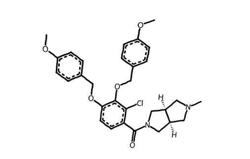 COc1ccc(COc2ccc(C(=O)N3C[C@H]4CN(C)C[C@H]4C3)c(Cl)c2OCc2ccc(OC)cc2)cc1